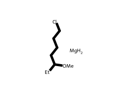 CCC(CCCCCl)OC.[MgH2]